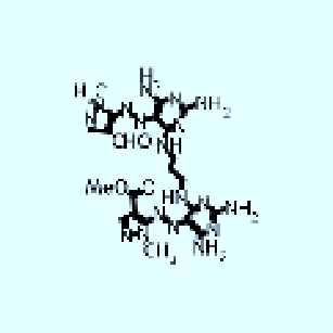 COC(=O)c1cnn(C)c1N=Nc1c(N)nc(N)nc1NCCCNc1nc(N)nc(N)c1N=Nc1c(C=O)cnn1C